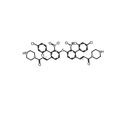 O=C(/C=C/c1ccc(Sc2ccc(/C=C/C(=O)N3CCNCC3)c(-c3ccc(Cl)cc3Cl)c2[N+](=O)[O-])c([N+](=O)[O-])c1-c1ccc(Cl)cc1Cl)N1CCNCC1